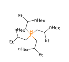 CCCCCCC(CC)C[PH](CC(CC)CCCCCC)(CC(CC)CCCCCC)CC(CC)CCCCCC